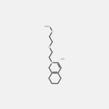 CCCCCCOCCOCCN1C=CC2=C(CCCC2)C1.Cl